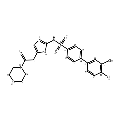 O=C(Cc1nnc(NS(=O)(=O)c2ccc(-c3ccc(Cl)c(Cl)c3)cc2)s1)N1CCOCC1